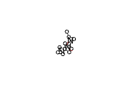 c1ccc(-c2ccc3c(c2)c2ccccc2n3-c2ccc3c(c2)c2ccccc2n3-c2c(-c3ccccc3)cc([Si](c3ccccc3)(c3ccccc3)c3ccccc3)cc2-c2ccccc2)cc1